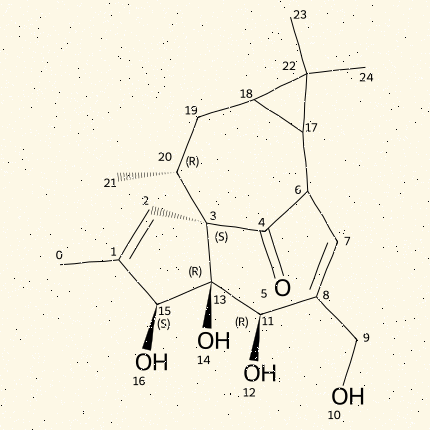 CC1=C[C@]23C(=O)C(C=C(CO)[C@@H](O)[C@]2(O)[C@H]1O)C1C(C[C@H]3C)C1(C)C